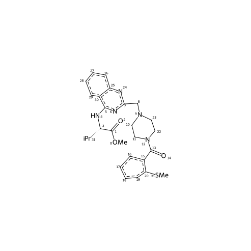 COC(=O)[C@@H](Nc1nc(CN2CCN(C(=O)c3ccccc3SC)CC2)nc2ccccc12)C(C)C